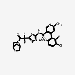 COc1ccc(Cl)c(F)c1-c1cc(C)ncc1C(=O)Nc1nnc(C(F)(F)C(=O)N2CC3CC2CO3)s1